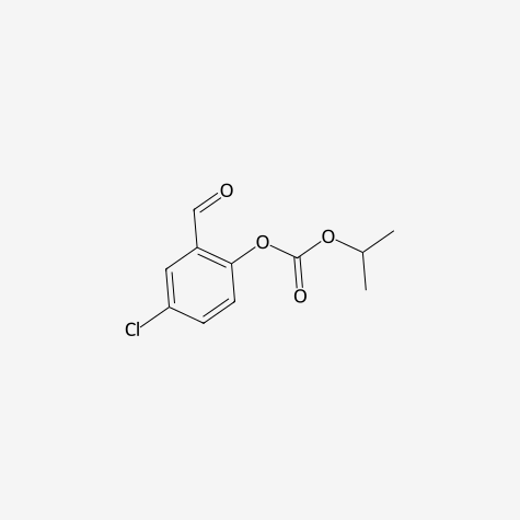 CC(C)OC(=O)Oc1ccc(Cl)cc1C=O